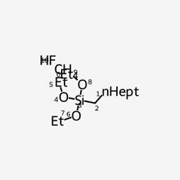 C.CCCCCCCC[Si](OCC)(OCC)OCC.F